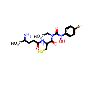 NC(CCC(=O)NC(CS)C(=O)N(CC(=O)O)C(=O)N(O)c1ccc(Br)cc1)C(=O)O